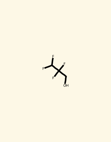 OCC(F)(F)[C](F)F